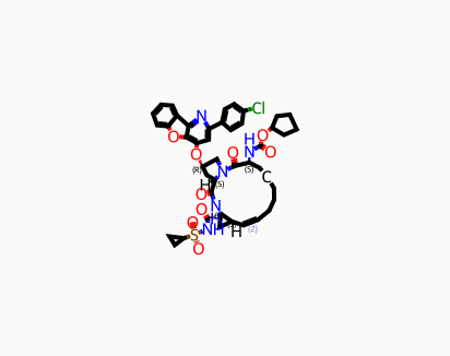 O=C(N[C@H]1CCCCC/C=C\[C@@H]2C[C@@]2(C(=O)NS(=O)(=O)C2CC2)NC(=O)[C@@H]2C[C@@H](Oc3cc(-c4ccc(Cl)cc4)nc4c3oc3ccccc34)CN2C1=O)OC1CCCC1